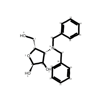 OC[C@H]1O[C@H](O)C(O)[C@H]1N(Cc1ccccc1)Cc1ccccc1